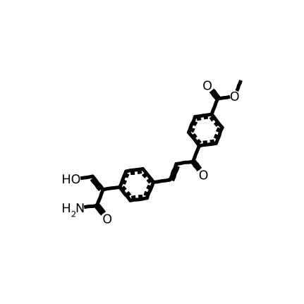 COC(=O)c1ccc(C(=O)C=Cc2ccc(C(=CO)C(N)=O)cc2)cc1